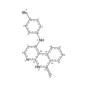 CC(C)(C)c1ccc(Nc2ccnc3[nH]c(=O)c4ccccc4c23)cc1